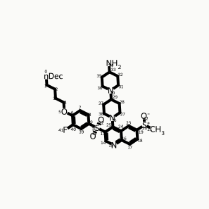 CCCCCCCCCCCCCCOc1ccc(S(=O)(=O)c2cnc3ccc([S+](C)[O-])cc3c2N2CCC(N3CCC(N)CC3)CC2)cc1F